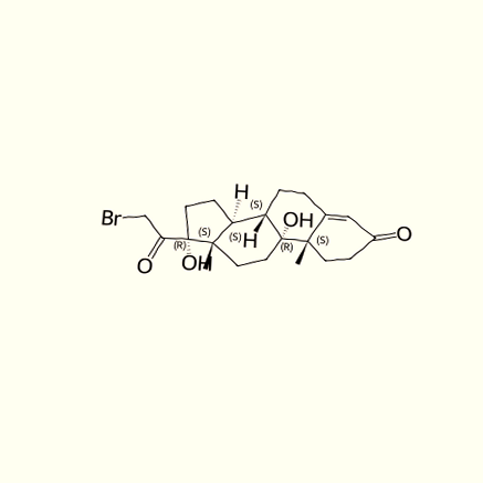 C[C@]12CCC(=O)C=C1CC[C@H]1[C@@H]3CC[C@](O)(C(=O)CBr)[C@@]3(C)CC[C@@]12O